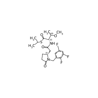 CO[C@H](C)[C@H](NC(=O)C[C@@H]1CCC(=O)N1Cc1cc(F)cc(F)c1F)C(=O)SC(C)C